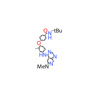 CNc1cc2c(Nc3ccc(Oc4ccc(C(=O)NCC(C)(C)C)cc4)c(C)c3)ncnc2cn1